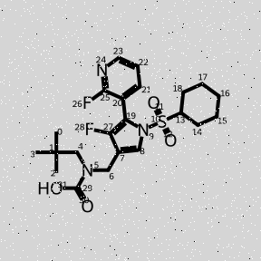 CC(C)(C)CN(Cc1cn(S(=O)(=O)C2CCCCC2)c(-c2cccnc2F)c1F)C(=O)O